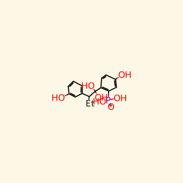 CCC(c1cccc(O)c1)C(O)(O)c1ccc(O)cc1P(=O)(O)O